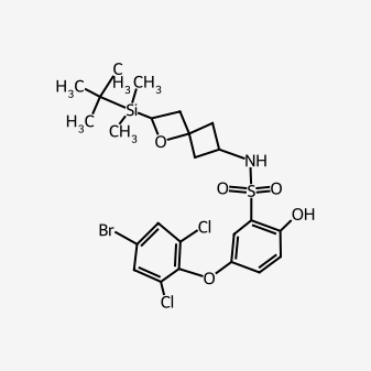 CC(C)(C)[Si](C)(C)C1CC2(CC(NS(=O)(=O)c3cc(Oc4c(Cl)cc(Br)cc4Cl)ccc3O)C2)O1